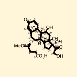 COC(=O)CCC(=O)O.C[C@]12C=CC(=O)C=C1CC[C@@H]1[C@@H]2[C@@H](O)C[C@@]2(C)[C@H]1CC[C@]2(O)C(=O)CO